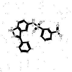 O=[N+]([O-])c1cccc(S(=O)(=O)Nc2ccc3[nH]nc(-c4ccccc4)c3c2)c1